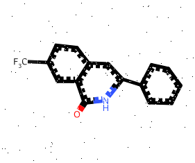 O=c1[nH]c(-c2ccccc2)cc2ccc(C(F)(F)F)cc12